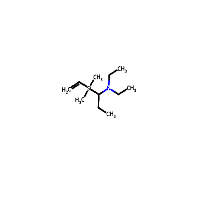 C=C[Si](C)(C)C(CC)N(CC)CC